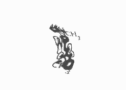 CCOC(=O)C(C(=O)Cc1ccc(-n2c(C)nc3cnccc32)cc1[N+](=O)[O-])C(=O)c1ccccc1